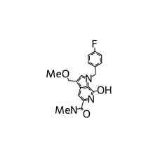 CNC(=O)c1cc2c(COC)cn(Cc3ccc(F)cc3)c2c(O)n1